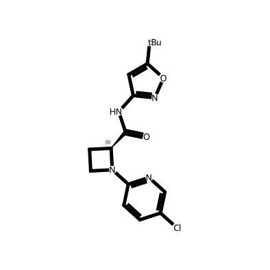 CC(C)(C)c1cc(NC(=O)[C@@H]2CCN2c2ccc(Cl)cn2)no1